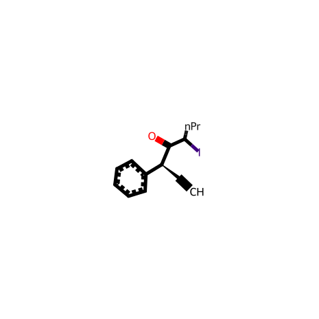 C#C[C@H](C(=O)C(I)CCC)c1ccccc1